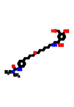 CN(C)C(=O)Nc1ccc(CCCCOCCCCCCNCC(O)c2ccc(O)c(CO)c2)cc1